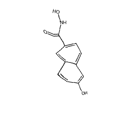 O=C(NO)c1ccc2cc(O)ccc2c1